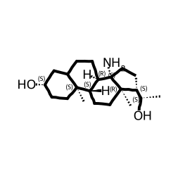 C[C@H](O)[C@H]1CC[C@]2(N)[C@@H]3CCC4C[C@@H](O)CC[C@]4(C)[C@H]3CC[C@]12C